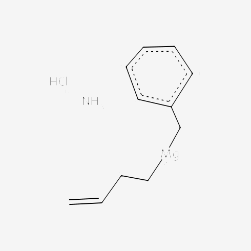 C=CC[CH2][Mg][CH2]c1ccccc1.Cl.N